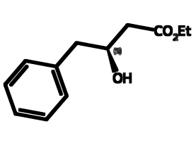 CCOC(=O)C[C@@H](O)Cc1ccccc1